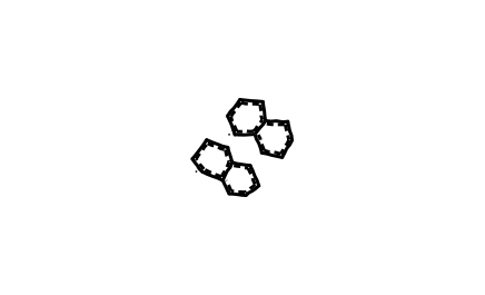 [c]1cccc2ccccc12.[c]1cccc2ccccc12